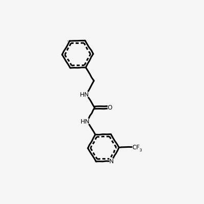 O=C(NCc1cc[c]cc1)Nc1ccnc(C(F)(F)F)c1